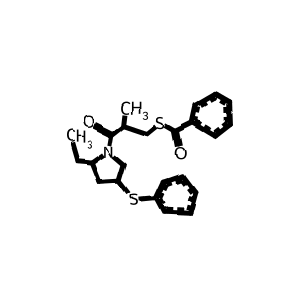 CCC1CC(Sc2ccccc2)CN1C(=O)C(C)CSC(=O)c1ccccc1